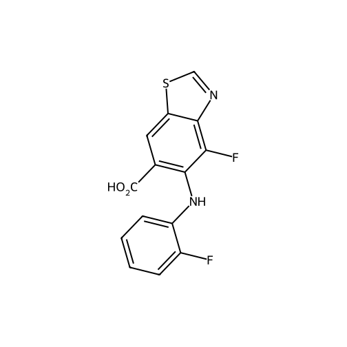 O=C(O)c1cc2scnc2c(F)c1Nc1ccccc1F